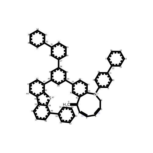 C=C1/C=C\C=C/CN(c2ccc(-c3ccccc3)cc2)c2ccc(-c3cc(-c4cccc(-c5ccccc5)c4)cc(-c4cccc5c4sc4c(-c6ccccc6)cccc45)c3)cc21